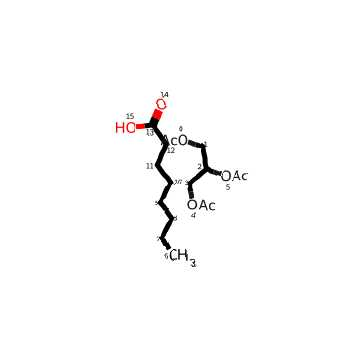 CC(=O)OCC(COC(C)=O)OC(C)=O.CCCCCCCC(=O)O